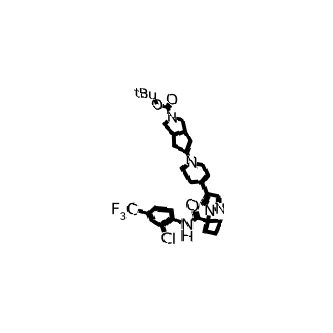 CC(C)(C)OC(=O)N1CC2CC(N3CCC(c4cnn(C5(C(=O)Nc6ccc(C(F)(F)F)cc6Cl)CCC5)c4)CC3)CC2C1